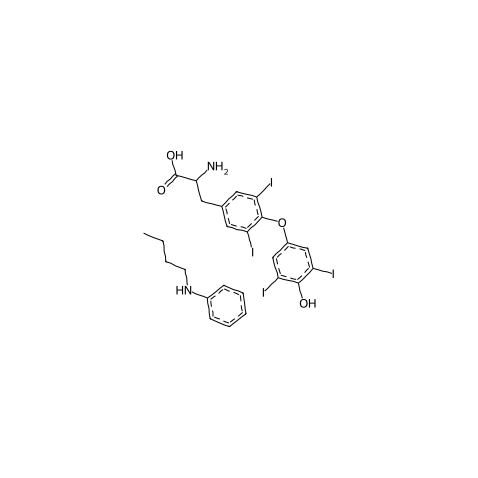 CCCCNc1ccccc1.NC(Cc1cc(I)c(Oc2cc(I)c(O)c(I)c2)c(I)c1)C(=O)O